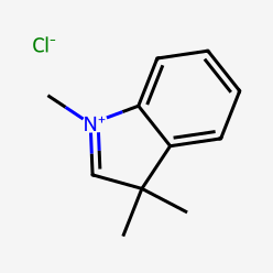 C[N+]1=CC(C)(C)c2ccccc21.[Cl-]